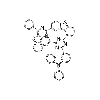 c1ccc(-c2nc(-c3cccc4sc5ccc(-c6nc(-c7ccccc7)c7oc8ccccc8c7n6)cc5c34)nc(-c3cccc4c3c3ccccc3n4-c3ccccc3)n2)cc1